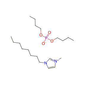 CCCCCCCCn1cc[n+](C)c1.CCCCOP(=O)([O-])OCCCC